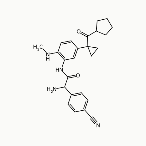 CNc1ccc(C2(C(=O)C3CCCC3)CC2)cc1NC(=O)C(N)c1ccc(C#N)cc1